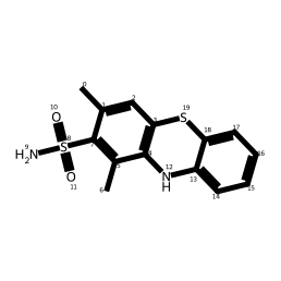 Cc1cc2c(c(C)c1S(N)(=O)=O)Nc1ccccc1S2